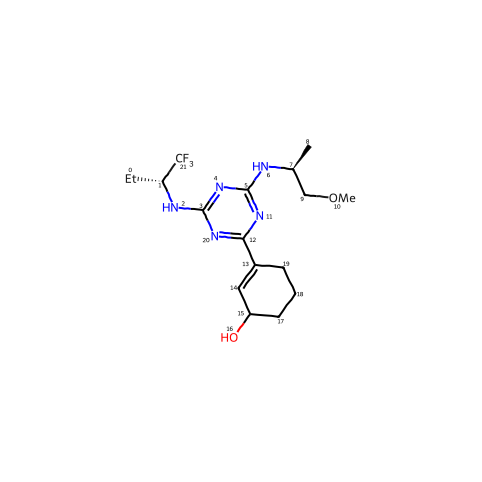 CC[C@@H](Nc1nc(N[C@@H](C)COC)nc(C2=CC(O)CCC2)n1)C(F)(F)F